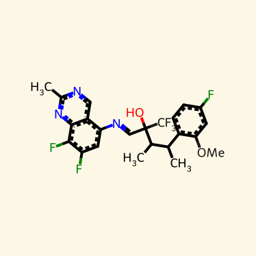 COc1cc(F)ccc1C(C)C(C)C(O)(/C=N/c1cc(F)c(F)c2nc(C)ncc12)C(F)(F)F